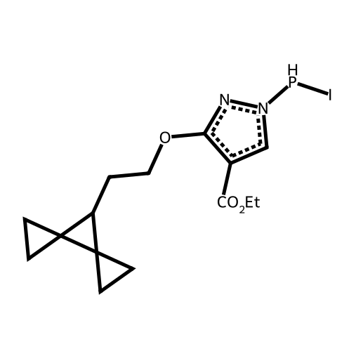 CCOC(=O)c1cn(PI)nc1OCCC1C2(CC2)C12CC2